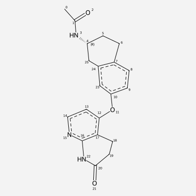 CC(=O)N[C@@H]1CCc2ccc(Oc3ccnc4c3CCC(=O)N4)cc2C1